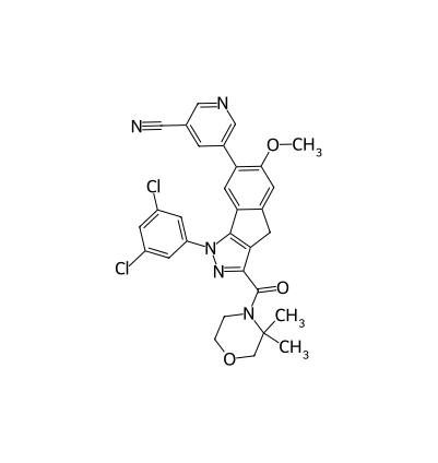 COc1cc2c(cc1-c1cncc(C#N)c1)-c1c(c(C(=O)N3CCOCC3(C)C)nn1-c1cc(Cl)cc(Cl)c1)C2